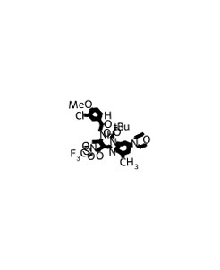 COc1ccc([C@H](O)CNC2=C(c3nc4c(C)cc(N5CCOCC5)cc4n3C(=O)OC(C)(C)C)C(=O)N(S(=O)(=O)C(F)(F)F)C2)cc1Cl